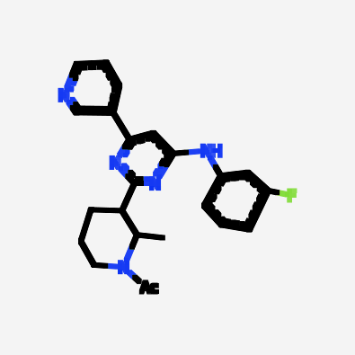 CC(=O)N1CCCC(c2nc(Nc3cccc(F)c3)cc(-c3cccnc3)n2)C1C